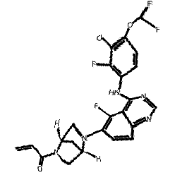 C=CC(=O)N1C[C@@H]2C[C@H]1CN2c1ccc2ncnc(Nc3ccc(OC(F)F)c(Cl)c3F)c2c1F